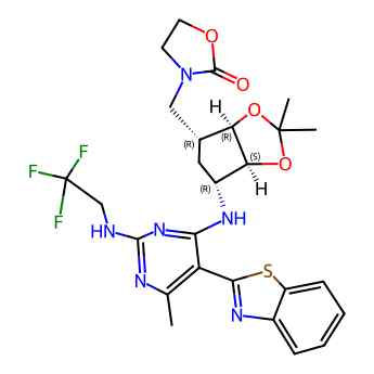 Cc1nc(NCC(F)(F)F)nc(N[C@@H]2C[C@H](CN3CCOC3=O)[C@H]3OC(C)(C)O[C@H]32)c1-c1nc2ccccc2s1